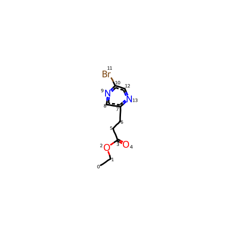 CCOC(=O)CCc1cnc(Br)cn1